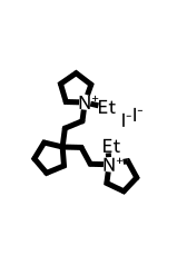 CC[N+]1(CCC2(CC[N+]3(CC)CCCC3)CCCC2)CCCC1.[I-].[I-]